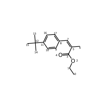 CCOC(=O)C(C)=Cc1ccc(C(C)(C)C)cc1